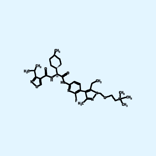 CCc1c(-c2ccc(NC(=O)[C@@H](NC(=O)c3conc3C(C)C)[C@H]3CC[C@H](C)CC3)nc2F)c(C)nn1COCC[Si](C)(C)C